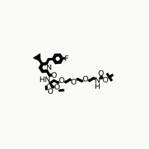 CCOC(=O)[C@](CC)(CCOCCOCCOCCNC(=O)OC(C)(C)C)NC(=O)c1ccc(C2CC2)c(Cc2ccc(F)cc2)n1